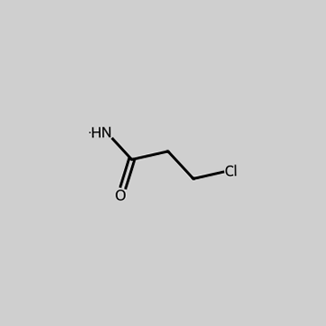 [NH]C(=O)CCCl